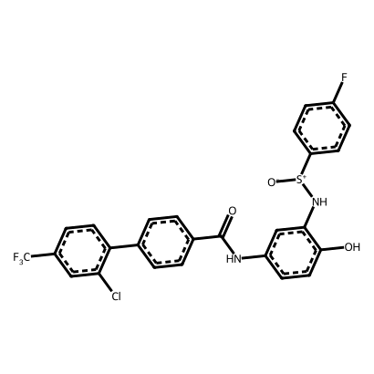 O=C(Nc1ccc(O)c(N[S+]([O-])c2ccc(F)cc2)c1)c1ccc(-c2ccc(C(F)(F)F)cc2Cl)cc1